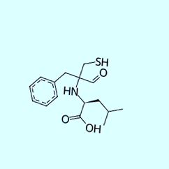 CC(C)C[C@H](NC(C=O)(CS)Cc1ccccc1)C(=O)O